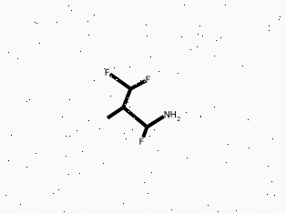 CC(C(N)F)C(F)F